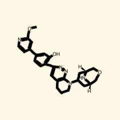 COc1cc(-c2ccc(-c3cc4c(nn3)N(C3C[C@H]5COC[C@@H](C3)N5)CCC4)c(O)c2)ccn1